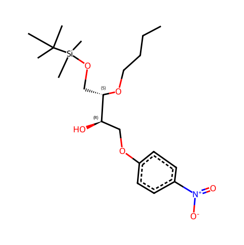 CCCCO[C@@H](CO[Si](C)(C)C(C)(C)C)[C@H](O)COc1ccc([N+](=O)[O-])cc1